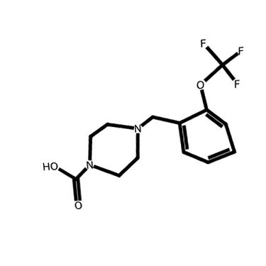 O=C(O)N1CCN(Cc2ccccc2OC(F)(F)F)CC1